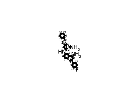 Nc1nc(Nc2ccc3nc(-c4ccc(F)cc4)cc(N)c3c2)cc(OCc2ccccc2)n1